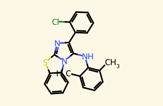 Cc1cccc(C)c1Nc1c(-c2ccccc2Cl)nc2sc3ccccc3n12